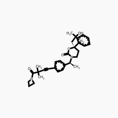 C[C@@H](c1ccc(C#CC(C)(C)C(=O)N2CCC2)cc1)N1CC[C@](CC(C)(C)O)(c2ccccc2)OC1=O